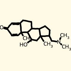 CN(C)CC1CCC2C3CCC4=CC(=O)C=CC4(C)C3C(O)CC12C